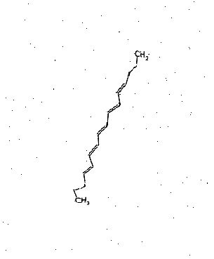 [CH2]CCC=CC=CC=CC=CC=CCCC